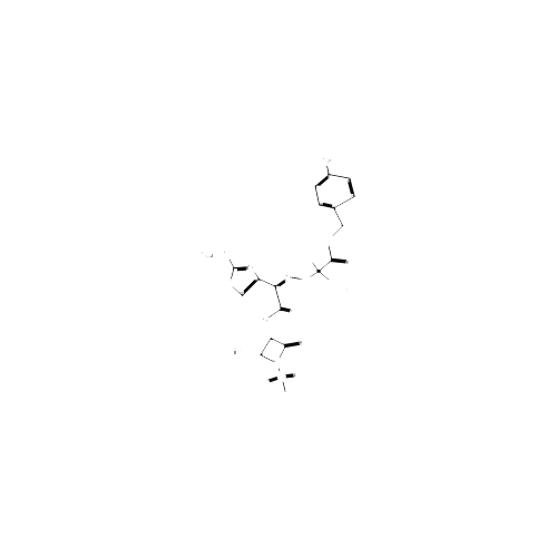 CC(C)[C@@H]1[C@H](NC(=O)C(=NOC(C)(C)C(=O)OCc2ccc([N+](=O)[O-])cc2)c2csc(N)n2)C(=O)N1S(=O)(=O)[O-].[Na+]